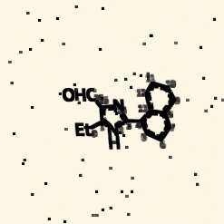 CCc1[nH]c(-c2cccc3ccccc23)nc1C=O